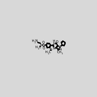 COc1cc(S(=O)(=O)N(C)CCN)ccc1-c1nc2c(C)nn(-c3ccccc3)c2c(=O)[nH]1